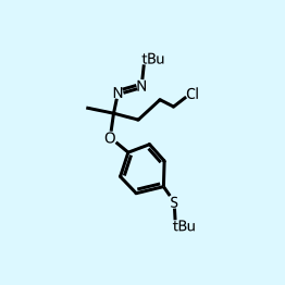 CC(C)(C)N=NC(C)(CCCCl)Oc1ccc(SC(C)(C)C)cc1